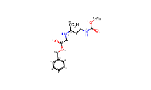 CC(C)(C)OC(=O)NCCC(NCC(=O)OCc1ccccc1)C(=O)O